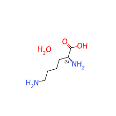 NCCCC[C@H](N)C(=O)O.O